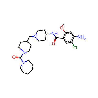 COc1cc(N)c(Cl)cc1C(=O)NC1CCN(CC2CCN(C(=O)N3CCCCCC3)CC2)CC1